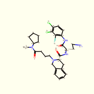 CN(C(=O)CCCN1Cc2ccccc2C[C@H]1C(=O)N[C@@H](CCN)C(=O)Nc1ccc(Cl)c(Cl)c1F)C1CCCC1